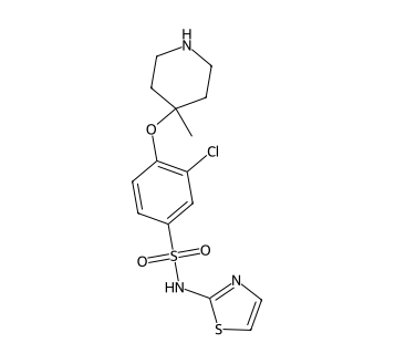 CC1(Oc2ccc(S(=O)(=O)Nc3nccs3)cc2Cl)CCNCC1